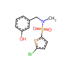 CN(Cc1cccc(O)c1)S(=O)(=O)c1ccc(Br)s1